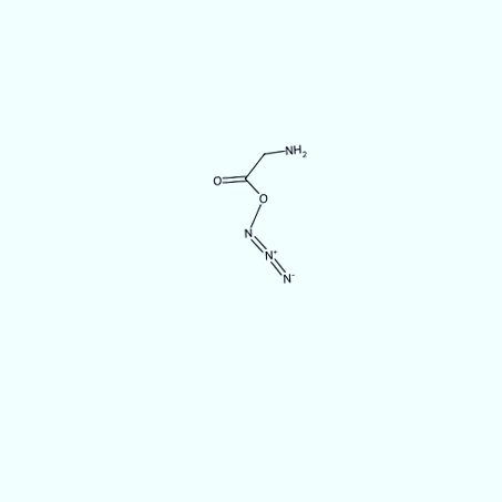 [N-]=[N+]=NOC(=O)CN